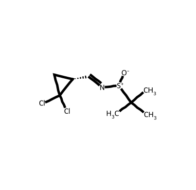 CC(C)(C)[S+]([O-])N=C[C@H]1CC1(Cl)Cl